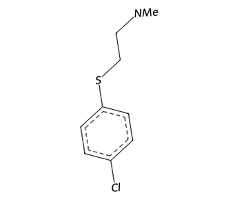 CNCCSc1ccc(Cl)cc1